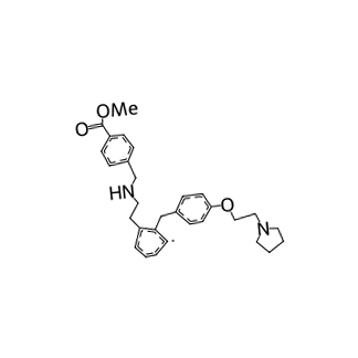 COC(=O)c1ccc(CNCCc2ccc[c]c2Cc2ccc(OCCN3CCCC3)cc2)cc1